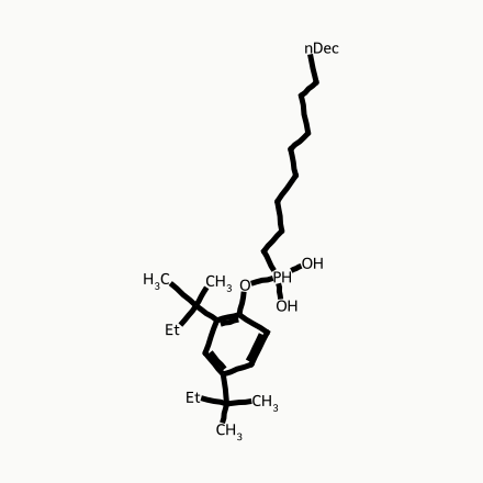 CCCCCCCCCCCCCCCCCC[PH](O)(O)Oc1ccc(C(C)(C)CC)cc1C(C)(C)CC